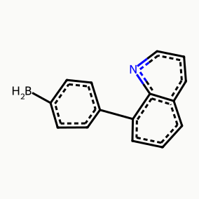 Bc1ccc(-c2cccc3cccnc23)cc1